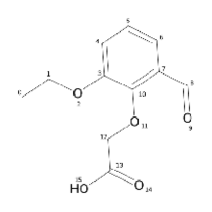 CCOc1cccc(C=O)c1OCC(=O)O